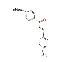 CCCCCCc1ccc(C(=O)C=Cc2ccc(C)cc2)cc1